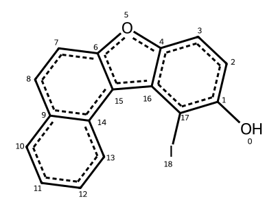 Oc1ccc2oc3ccc4ccccc4c3c2c1I